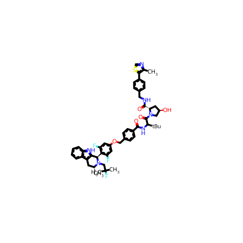 Cc1ncsc1-c1ccc(CNC(=O)[C@@H]2C[C@@H](O)CN2C(=O)C(NC(=O)c2ccc(COc3cc(F)c([C@@H]4c5[nH]c6ccccc6c5C[C@@H](C)N4CC(C)(C)F)c(F)c3)cc2)C(C)(C)C)cc1